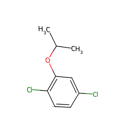 CC(C)Oc1cc(Cl)c[c]c1Cl